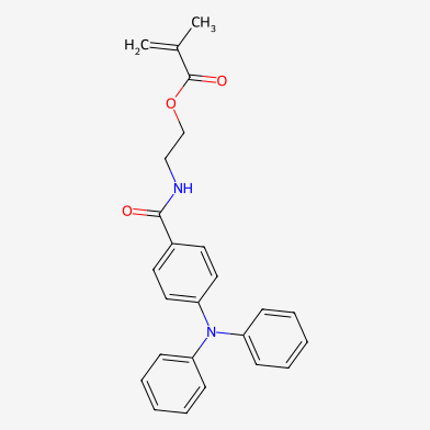 C=C(C)C(=O)OCCNC(=O)c1ccc(N(c2ccccc2)c2ccccc2)cc1